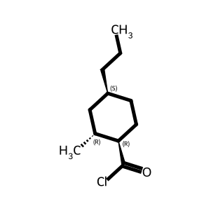 CCC[C@H]1CC[C@@H](C(=O)Cl)[C@H](C)C1